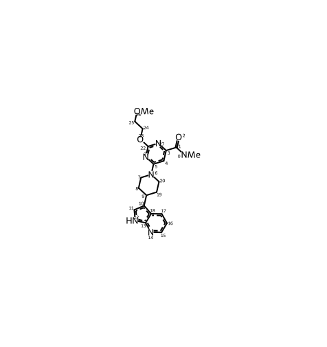 CNC(=O)c1cc(N2CCC(c3c[nH]c4ncccc34)CC2)nc(OCCOC)n1